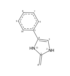 C=C1NC=C(c2ccccc2)N1